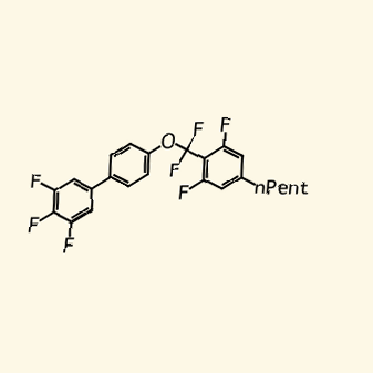 CCCCCc1cc(F)c(C(F)(F)Oc2ccc(-c3cc(F)c(F)c(F)c3)cc2)c(F)c1